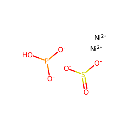 O=S([O-])[O-].[Ni+2].[Ni+2].[O-]P([O-])O